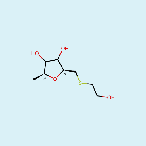 C[C@@H]1O[C@H](CSCCO)C(O)C1O